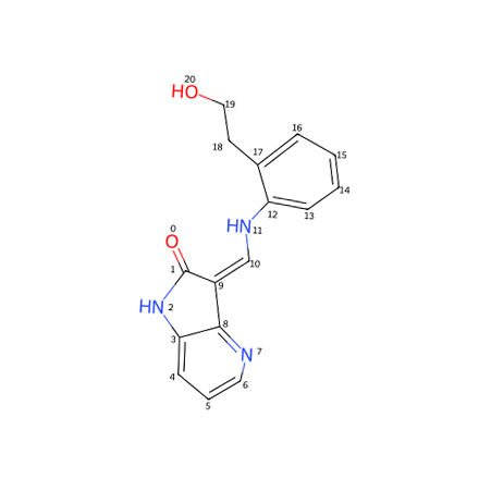 O=C1Nc2cccnc2/C1=C/Nc1ccccc1CCO